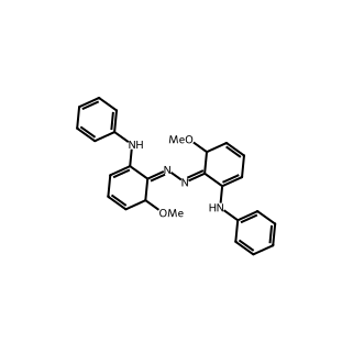 COC1C=CC=C(Nc2ccccc2)C1=NN=C1C(Nc2ccccc2)=CC=CC1OC